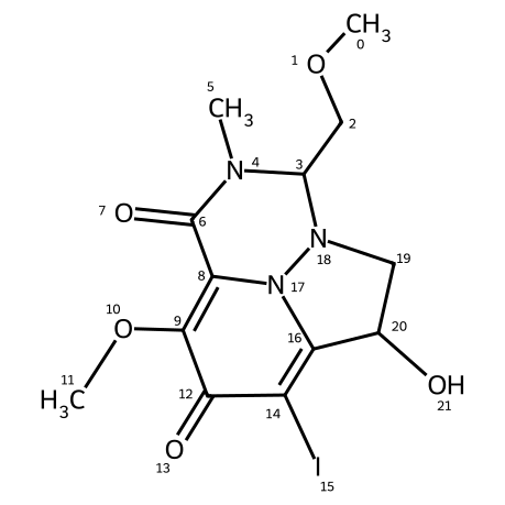 COCC1N(C)C(=O)c2c(OC)c(=O)c(I)c3n2N1CC3O